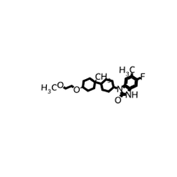 COCCO[C@H]1CC[C@](C)(C2CCC(n3c(=O)[nH]c4cc(F)c(C)cc43)CC2)CC1